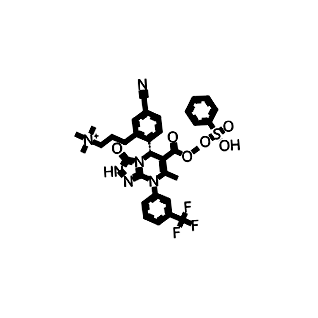 COC(=O)C1=C(C)N(c2cccc(C(F)(F)F)c2)c2n[nH]c(=O)n2[C@@H]1c1ccc(C#N)cc1CCC[N+](C)(C)C.O=S(=O)(O)c1ccccc1